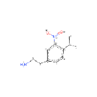 CC(C)c1ccc(CCN)cc1[N+](=O)[O-]